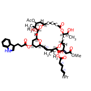 CCC/C=C/C=C/C(=O)O[C@H]1/C(=C/C(=O)OC)C[C@H]2C[C@H]([C@@H](C)O)OC(=O)CCC[C@@H]3C[C@H](OC(C)=O)C(C)(C)[C@](O)(C[C@@H]4C[C@H](OC(=O)CCc5c[nH]c6ccccc56)C[C@H](/C=C/C(C)(C)[C@]1(O)O2)O4)O3